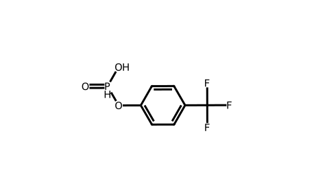 O=[PH](O)Oc1ccc(C(F)(F)F)cc1